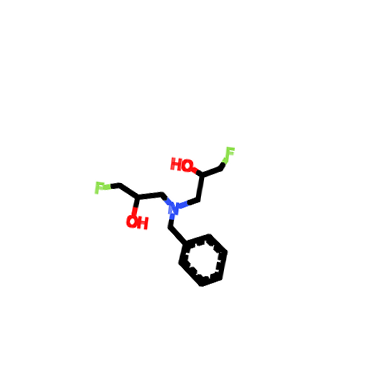 OC(CF)CN(Cc1ccccc1)CC(O)CF